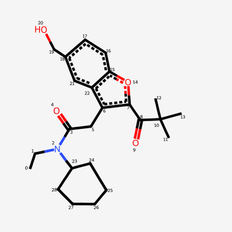 CCN(C(=O)Cc1c(C(=O)C(C)(C)C)oc2ccc(CO)cc12)C1CCCCC1